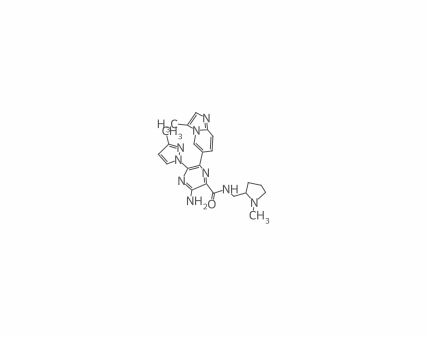 Cc1ccn(-c2nc(N)c(C(=O)NCC3CCCN3C)nc2-c2ccc3ncc(C)n3c2)n1